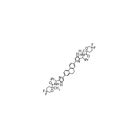 CC(C)C(NC(=O)[C@@]1(C)CCC(F)(F)CO1)c1nc(-c2ccc3c(c2)CCc2cc(-c4c[nH]c(C(NC(=O)[C@@]5(C)CCC(F)(F)CO5)C(C)C)n4)ccc2-3)c[nH]1